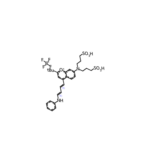 CC(C)(C)c1cc(/C=C/C=C/Nc2ccccc2)c2ccc(N(CCCS(=O)(=O)O)CCCS(=O)(=O)O)cc2[o+]1.F[B-](F)(F)F